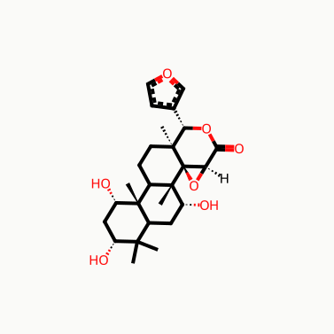 CC1(C)C2C[C@@H](O)[C@]3(C)C(CC[C@@]4(C)[C@H](c5ccoc5)OC(=O)[C@H]5O[C@]543)[C@@]2(C)[C@@H](O)C[C@H]1O